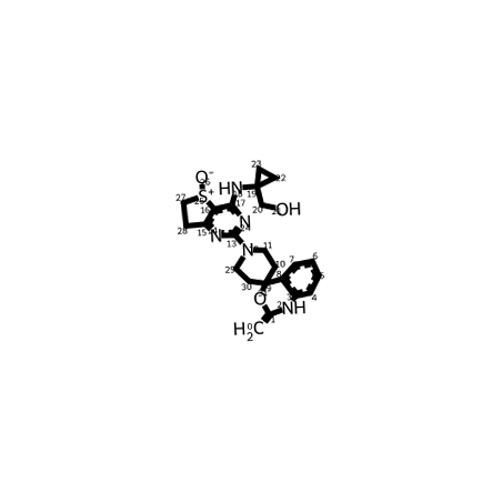 C=C1Nc2ccccc2C2(CCN(c3nc4c(c(NC5(CO)CC5)n3)[S+]([O-])CC4)CC2)O1